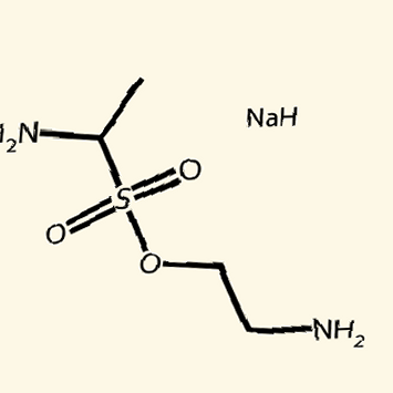 CC(N)S(=O)(=O)OCCN.[NaH]